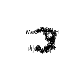 C=N/N=C(\C=C/C)N1CC[C@@H](Nc2nnc(NC(=O)[C@@H](OCC)c3cccc(N4CC(OCCCO[C@@H](C(=O)Nc5nnc(N[C@@H]6CCN(c7cccnn7)C6)s5)c5cccc(N6CC(OC)C6)c5)C4)c3)s2)C1